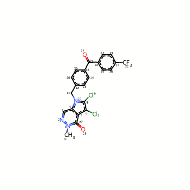 Cn1ncc2c(c(Cl)c(Cl)n2Cc2ccc(C(=O)c3ccc(C(F)(F)F)cc3)cc2)c1=O